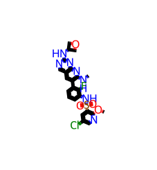 CNc1nc2nc(NC3COC3)ncc2cc1-c1cccc(NS(=O)(=O)c2cc(Cl)cnc2OC)c1F